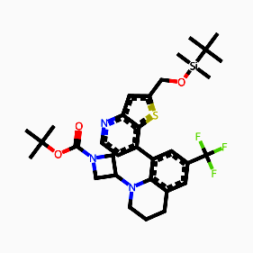 CC(C)(C)OC(=O)N1CC(N2CCCc3cc(C(F)(F)F)cc(-c4ccnc5cc(CO[Si](C)(C)C(C)(C)C)sc45)c32)C1